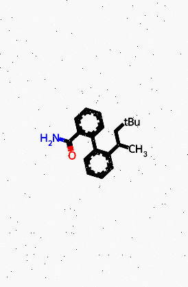 CC(CC(C)(C)C)c1ccccc1-c1ccccc1C(N)=O